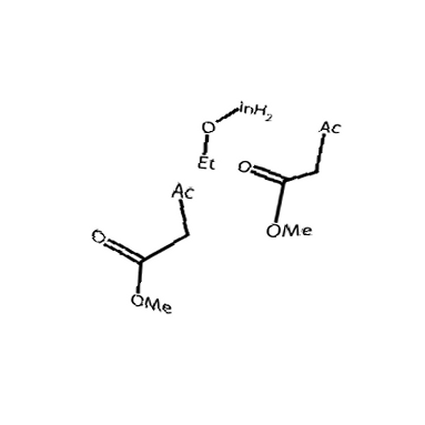 CC[O][InH2].COC(=O)CC(C)=O.COC(=O)CC(C)=O